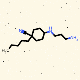 CCCCCC1(C#N)CCC(NCCCN)CC1